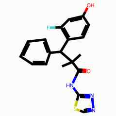 CC(C)(C(=O)Nc1nncs1)C(c1ccccc1)c1ccc(O)cc1F